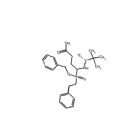 CC(C)(C)[S@@+]([O-])NC(CCC(=O)O)P(=O)(CCc1ccccc1)OCc1ccccc1